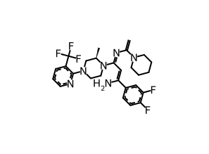 C=C(/N=C(\C=C(/N)c1ccc(F)c(F)c1)N1CCN(c2ncccc2C(F)(F)F)C[C@H]1C)N1CCCCC1